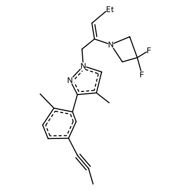 CC#Cc1ccc(C)c(-c2nn(C/C(=C/CC)N3CC(F)(F)C3)cc2C)c1